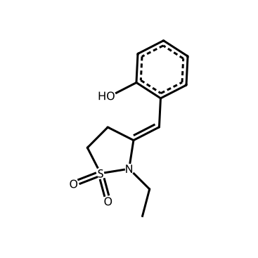 CCN1/C(=C/c2ccccc2O)CCS1(=O)=O